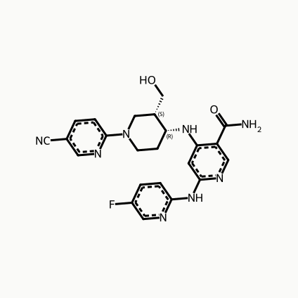 N#Cc1ccc(N2CC[C@@H](Nc3cc(Nc4ccc(F)cn4)ncc3C(N)=O)[C@@H](CO)C2)nc1